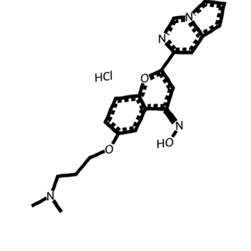 CN(C)CCCOc1ccc2oc(-c3cc4cccn4cn3)c/c(=N/O)c2c1.Cl